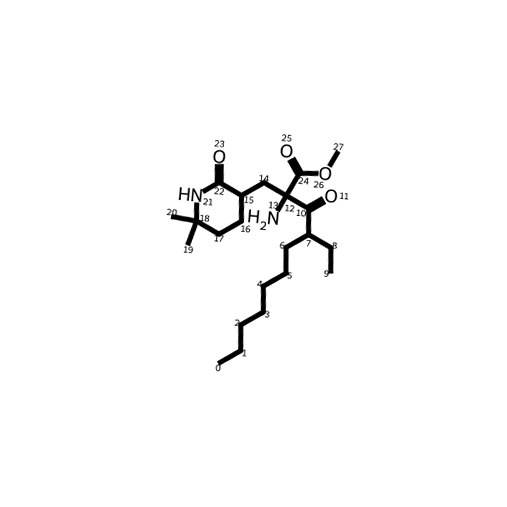 CCCCCCCC(CC)C(=O)C(N)(CC1CCC(C)(C)NC1=O)C(=O)OC